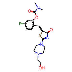 CN(C)C(=O)Oc1cc(F)ccc1/C=C1\SC(N2CCN(CCO)CC2)=NC1=O